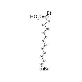 CCCCC=CC=CC=CCCCCCCC(CC)C(=O)O